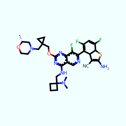 C[C@@H]1CN(CC2(COc3nc(NCC4(N(C)C)CCC4)c4cnc(C5=C(F)C=C(F)C6SC(N)=C(C#N)C56)c(F)c4n3)CC2)CCO1